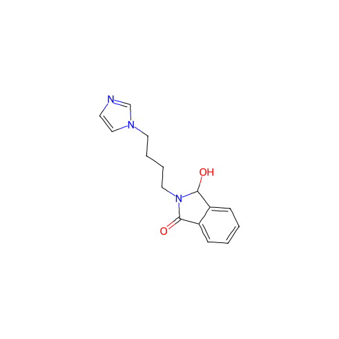 O=C1c2ccccc2C(O)N1CCCCn1ccnc1